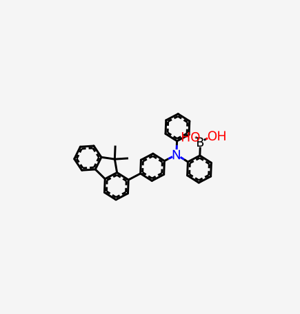 CC1(C)c2ccccc2-c2cccc(-c3ccc(N(c4ccccc4)c4ccccc4B(O)O)cc3)c21